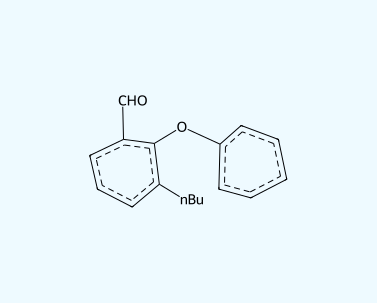 CCCCc1cccc(C=O)c1Oc1ccccc1